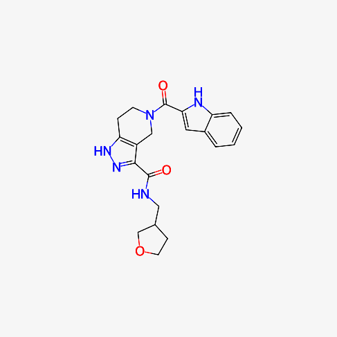 O=C(NCC1CCOC1)c1n[nH]c2c1CN(C(=O)c1cc3ccccc3[nH]1)CC2